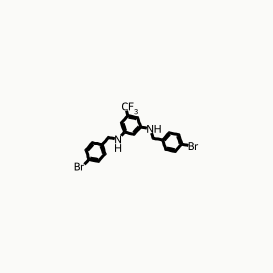 FC(F)(F)c1cc(NCc2ccc(Br)cc2)cc(NCc2ccc(Br)cc2)c1